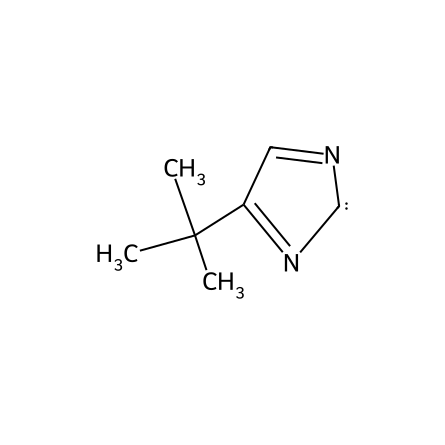 CC(C)(C)C1=N[C]N=C1